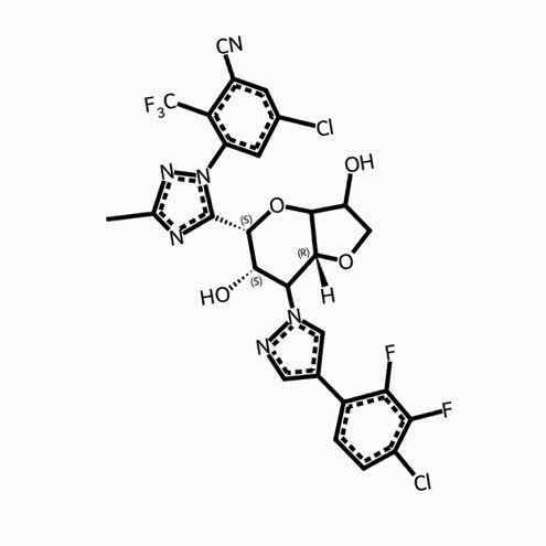 Cc1nc([C@@H]2OC3C(O)CO[C@@H]3C(n3cc(-c4ccc(Cl)c(F)c4F)cn3)[C@@H]2O)n(-c2cc(Cl)cc(C#N)c2C(F)(F)F)n1